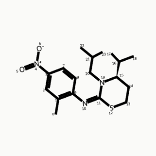 Cc1cc([N+](=O)[O-])ccc1N=C1SCC[C@H](C(C)C)N1CC(C)C